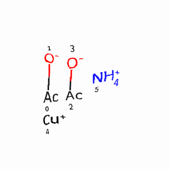 CC(=O)[O-].CC(=O)[O-].[Cu+].[NH4+]